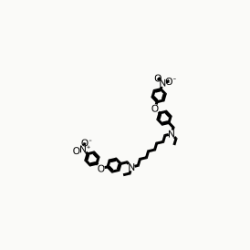 CCN(CCCCCCCCN(CC)Cc1ccc(Oc2ccc([N+](=O)[O-])cc2)cc1)Cc1ccc(Oc2ccc([N+](=O)[O-])cc2)cc1